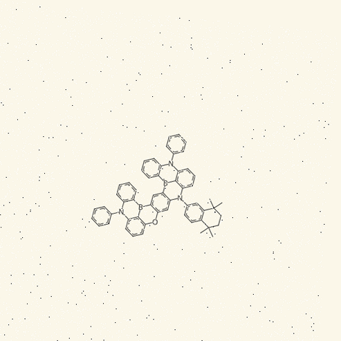 CC1(C)CCC(C)(C)c2cc(N3c4cc5c(cc4B4c6ccccc6N(c6ccccc6)c6cccc3c64)B3c4ccccc4N(c4ccccc4)c4cccc(c43)O5)ccc21